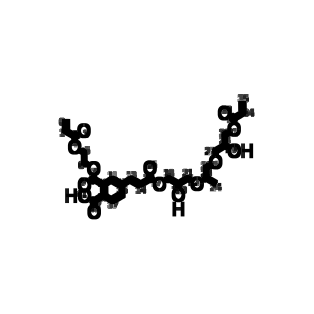 C=CC(=O)OCCOC(=O)c1cc(/C=C/C(=O)OCC(O)COC(C)COCC(O)COC(=O)C=C)ccc1C(=O)O